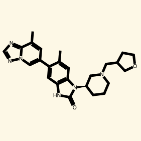 Cc1cc2c(cc1-c1cc(C)c3ncnn3c1)[nH]c(=O)n2[C@@H]1CCCN(CC2CCOC2)C1